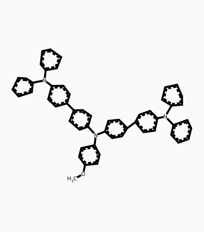 COc1ccc(N(c2ccc(-c3ccc(N(c4ccccc4)c4ccccc4)cc3)cc2)c2ccc(-c3ccc(N(c4ccccc4)c4ccccc4)cc3)cc2)cc1